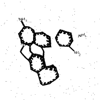 N.Nc1ccc(-c2c3cc4ccccc4c2-c2ccccc2NC3)cc1.Nc1ccccc1